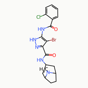 CN1C2CCC1CC(NC(=O)c1n[nH]c(NC(=O)c3ccccc3Cl)c1Br)C2